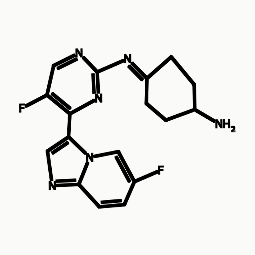 NC1CCC(=Nc2ncc(F)c(-c3cnc4ccc(F)cn34)n2)CC1